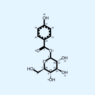 O=C(OC1O[C@H](CO)[C@@H](O)[C@H](O)[C@H]1O)c1ccc(O)cc1